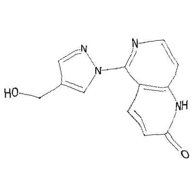 O=c1ccc2c(-n3cc(CO)cn3)nccc2[nH]1